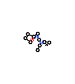 CC1(C)c2ccccc2-c2ccc(N(c3ccc(-c4ccccc4)cc3)c3ccc(-n4c5ccccc5c5cc6c(cc54)Oc4ccccc4Cc4ccccc4-c4ccccc4C6)cc3)cc21